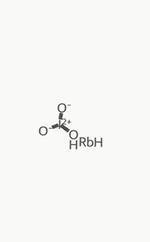 [O-][I+2]([O-])O.[RbH]